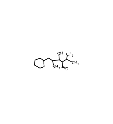 CC(C)C([C]=O)C(O)C(N)CC1CCCCC1